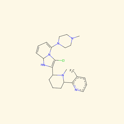 CN1CCN(C2=CC=CC3NC(C4CCCC(c5ncccc5C(F)(F)F)N4C)=C(Cl)N23)CC1